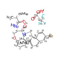 CN[C@@H](C)C(=O)N[C@H]1COc2ccccc2N(Cc2c(OC)ccc3cc(Br)ccc23)C1=O.O=C(O)C(F)(F)F